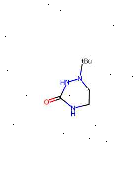 CC(C)(C)N1CCNC(=O)N1